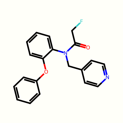 O=C(CF)N(Cc1ccncc1)c1ccccc1Oc1ccccc1